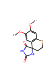 CCOc1cc2c(cc1OCC)C1(CCS2)NC(=O)NC1=O